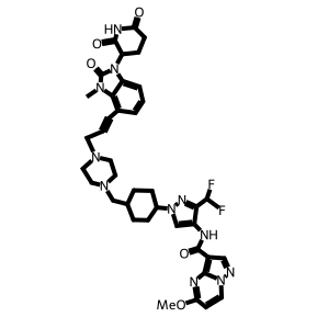 COc1ccn2ncc(C(=O)Nc3cn(C4CCC(CN5CCN(CC#Cc6cccc7c6n(C)c(=O)n7C6CCC(=O)NC6=O)CC5)CC4)nc3C(F)F)c2n1